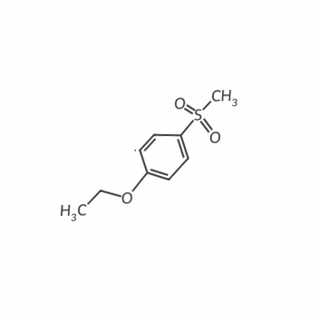 CCOc1[c]cc(S(C)(=O)=O)cc1